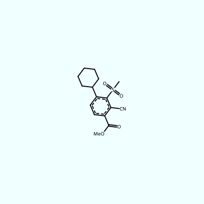 COC(=O)c1ccc(C2CCCCC2)c(S(C)(=O)=O)c1C#N